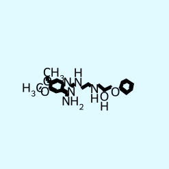 COc1cc2nc(NCCNCC(O)COc3ccccc3)nc(N)c2cc1OC